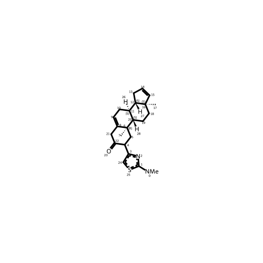 CNc1nc(C2C[C@@]3(C)C(=CC[C@H]4[C@@H]5CC=C[C@@]5(C)CC[C@@H]43)CC2=O)cs1